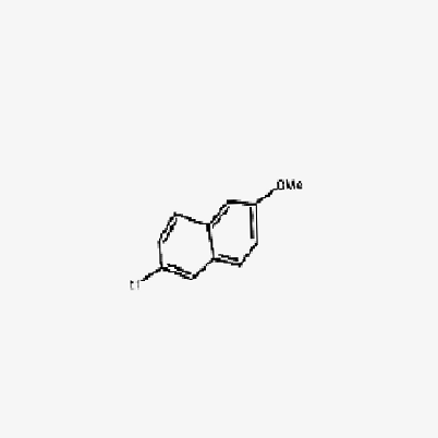 CCc1ccc2cc(OC)ccc2c1